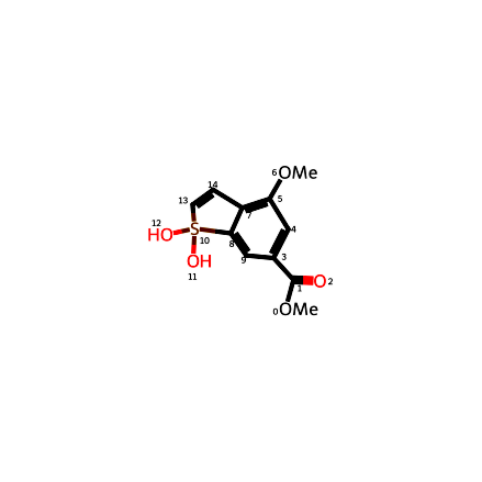 COC(=O)c1cc(OC)c2c(c1)S(O)(O)C=C2